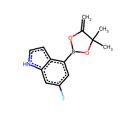 C=C1OB(c2cc(F)cc3[nH]ccc23)OC1(C)C